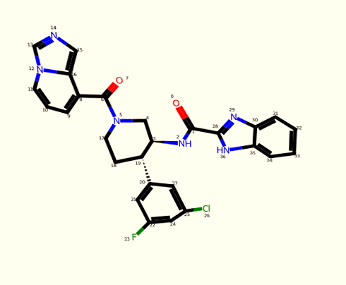 O=C(N[C@@H]1CN(C(=O)c2cccn3cncc23)CC[C@H]1c1cc(F)cc(Cl)c1)c1nc2ccccc2[nH]1